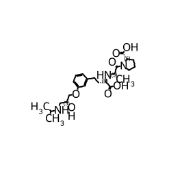 CC(C)NC[C@H](O)COc1cccc(CC[C@H](N[C@@H](C)C(=O)N2CCC[C@H]2C(=O)O)C(=O)O)c1